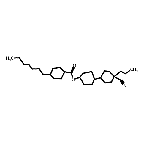 CCCCCCCC1CCC(C(=O)OC2CCC(C3CCC(C#N)(CCC)CC3)CC2)CC1